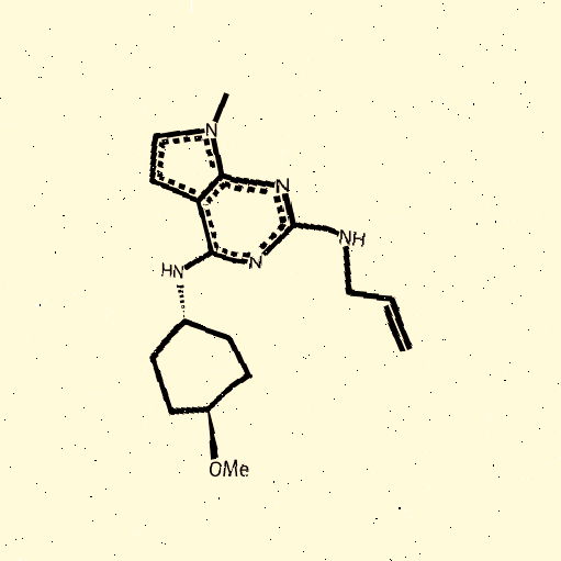 C=CCNc1nc(N[C@H]2CC[C@H](OC)CC2)c2ccn(C)c2n1